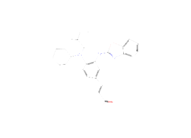 CC(C)CN(c1ccc(/C=C/C(=O)O)cc1Nc1nc2ccccc2o1)C1CCCCC1